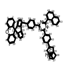 c1ccc2c(c1)Oc1ccccc1C21c2ccccc2-c2c(-c3ccc(-c4nc(-c5ccc(C67C[C@@H]8CC9CC8(C6)[C@H]9C7)cc5)nc(-c5cccc6ccccc56)n4)cc3)cccc21